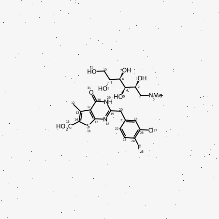 CNC[C@H](O)[C@@H](O)[C@H](O)[C@H](O)CO.Cc1c(C(=O)O)sc2nc(Cc3ccc(F)c(Cl)c3)[nH]c(=O)c12